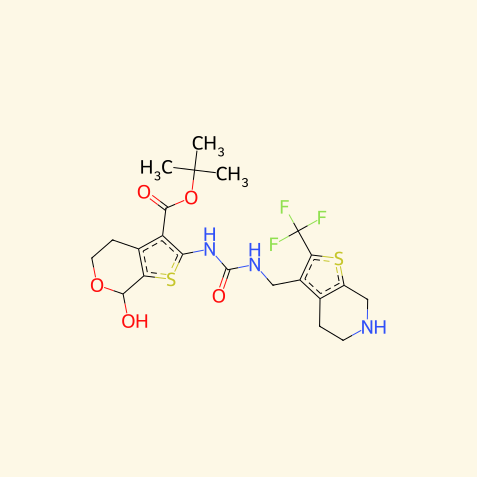 CC(C)(C)OC(=O)c1c(NC(=O)NCc2c(C(F)(F)F)sc3c2CCNC3)sc2c1CCOC2O